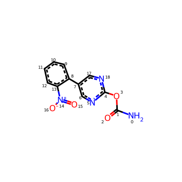 NC(=O)Oc1ncc(-c2ccccc2[N+](=O)[O-])cn1